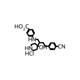 Cl.N#Cc1ccc(CCC(CNc2ccc(C(=O)O)cc2)C2(O)CCNCC2)cc1